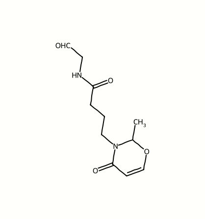 CC1OC=CC(=O)N1CCCC(=O)NCC=O